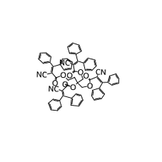 N#CC(C(=O)OCCC(COC(=O)C(C#N)=C(c1ccccc1)c1ccccc1)(COC(=O)C(C#N)=C(c1ccccc1)c1ccccc1)OC(=O)C(C#N)=C(c1ccccc1)c1ccccc1)=C(c1ccccc1)c1ccccc1